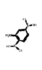 Nc1cc(B(O)O)ccc1B(O)O